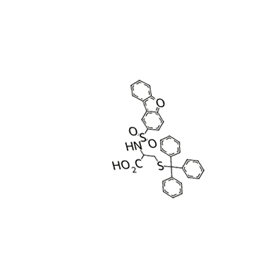 O=C(O)C(CSC(c1ccccc1)(c1ccccc1)c1ccccc1)NS(=O)(=O)c1ccc2oc3ccccc3c2c1